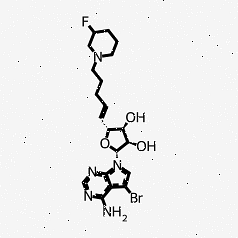 Nc1ncnc2c1c(Br)cn2[C@@H]1O[C@H](/C=C/CCCN2CCCC(F)C2)[C@@H](O)[C@H]1O